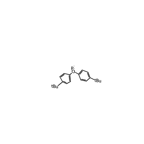 CC(C)(C)c1ccc(Oc2ccc(C(C)(C)C)cc2)cc1.[P]